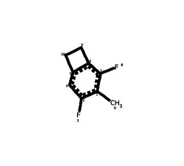 Cc1c(F)cc2c(c1F)CC2